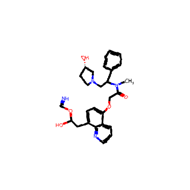 CN(C(=O)COc1ccc(CC(O)OC=N)c2ncccc12)C(CN1CC[C@H](O)C1)c1ccccc1